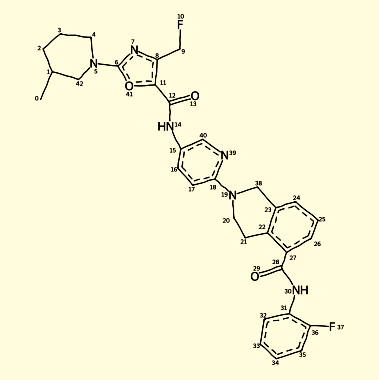 CC1CCCN(c2nc(CF)c(C(=O)Nc3ccc(N4CCc5c(cccc5C(=O)Nc5ccccc5F)C4)nc3)o2)C1